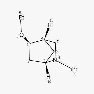 CCO[C@@H]1C[C@@H]2C[C@H]1CN2C(C)C